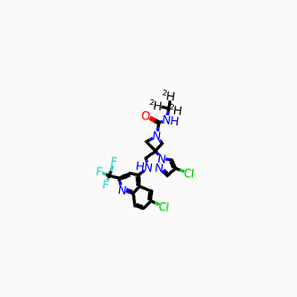 [2H]C([2H])([2H])NC(=O)N1CC(CNc2cc(C(F)(F)F)nc3ccc(Cl)cc23)(n2cc(Cl)cn2)C1